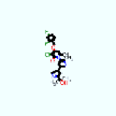 Cc1ncc(-c2ccnc(C(C)(C)O)c2)cc1-n1c(C)cc(OCc2ccc(F)cc2F)c(Cl)c1=O